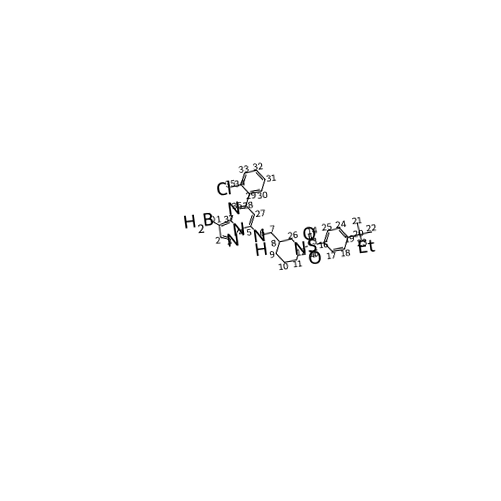 Bc1cnn2c(NCC3CCCN(S(=O)(=O)c4ccc(C(C)(C)CC)cc4)C3)cc(-c3ccccc3Cl)nc12